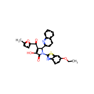 CCOc1ccc2nc(N3C(=O)C(O)=C(C(=O)c4ccc(C)o4)C3c3ccc4ccccc4n3)sc2c1